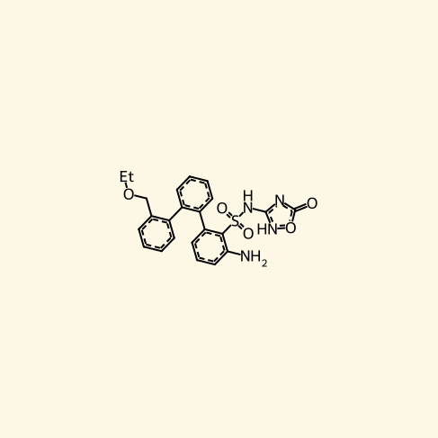 CCOCc1ccccc1-c1ccccc1-c1cccc(N)c1S(=O)(=O)Nc1nc(=O)o[nH]1